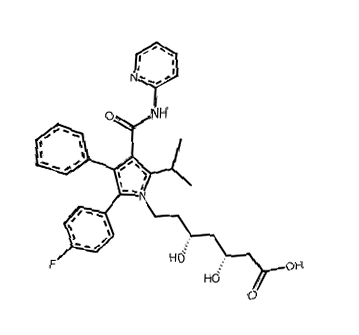 CC(C)c1c(C(=O)Nc2ccccn2)c(-c2ccccc2)c(-c2ccc(F)cc2)n1CC[C@@H](O)C[C@@H](O)CC(=O)O